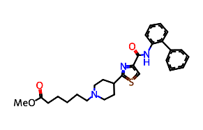 COC(=O)CCCCCN1CCC(c2nc(C(=O)Nc3ccccc3-c3ccccc3)cs2)CC1